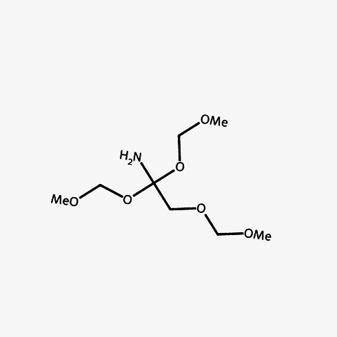 COCOCC(N)(OCOC)OCOC